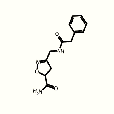 NC(=O)C1CC(CNC(=O)Cc2ccccc2)=NO1